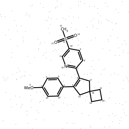 COc1ccc(C2=C(c3ccc(S(C)(=O)=O)cn3)CC3(CCC3)C2)cc1